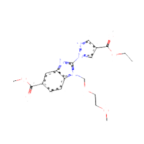 CCOC(=O)c1cnn(-c2nc3cc(C(=O)OC)ccc3n2COCCOC)c1